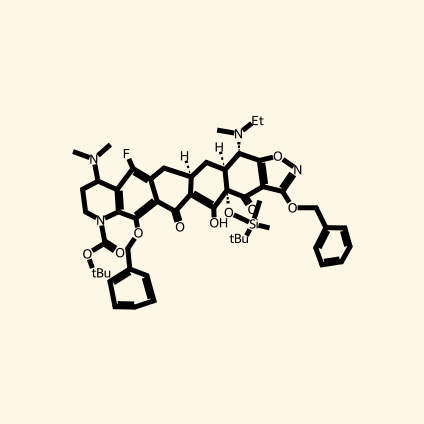 CCN(C)[C@@H]1c2onc(OCc3ccccc3)c2C(=O)[C@@]2(O[Si](C)(C)C(C)(C)C)C(O)=C3C(=O)c4c(c(F)c5c(c4OCc4ccccc4)N(C(=O)OC(C)(C)C)CCC5N(C)C)C[C@H]3C[C@@H]12